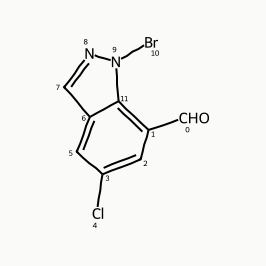 O=Cc1cc(Cl)cc2cnn(Br)c12